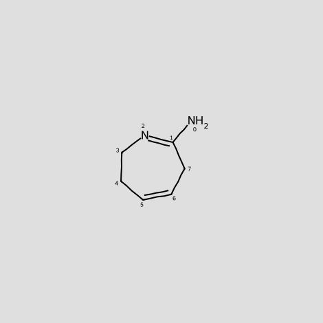 NC1=NCCC=CC1